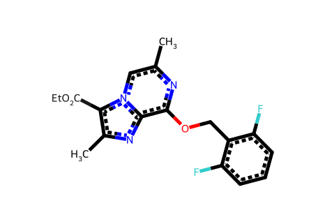 CCOC(=O)c1c(C)nc2c(OCc3c(F)cccc3F)nc(C)cn12